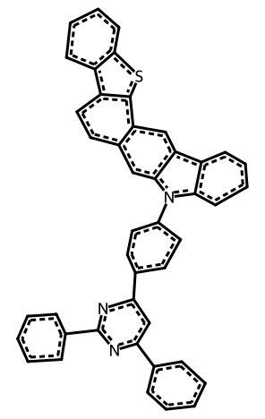 c1ccc(-c2cc(-c3ccc(-n4c5ccccc5c5cc6c(ccc7c8ccccc8sc67)cc54)cc3)nc(-c3ccccc3)n2)cc1